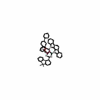 CC1(C)c2ccccc2-c2c(-c3nc(-c4ccccc4)nc(-n4c5ccccc5c5ccc6c7ccccc7n(C7=c8c(oc9ccc(-c%10ccccc%10)cc89)=CCC7)c6c54)n3)cccc21